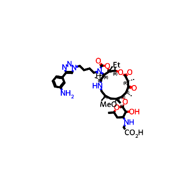 CC[C@H]1OC(=O)[C@H](C)C(=O)[C@H](C)[C@@H](O[C@@H]2OC(C)CC(NCC(=O)O)C2O)[C@](C)(OC)C[C@@H](C)CN[C@H](C)[C@H]2N(CCCCn3cc(-c4cccc(N)c4)nn3)C(=O)O[C@]12C